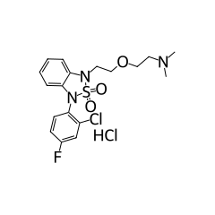 CN(C)CCOCCN1c2ccccc2N(c2ccc(F)cc2Cl)S1(=O)=O.Cl